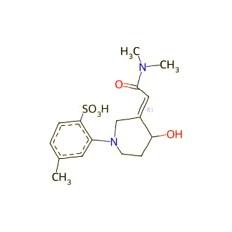 Cc1ccc(S(=O)(=O)O)c(N2CCC(O)/C(=C/C(=O)N(C)C)C2)c1